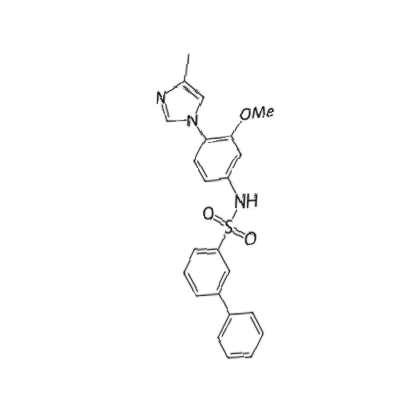 COc1cc(NS(=O)(=O)c2cccc(-c3ccccc3)c2)ccc1-n1cnc(C)c1